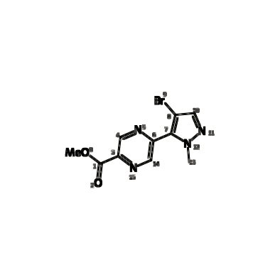 COC(=O)c1cnc(-c2c(Br)cnn2C)cn1